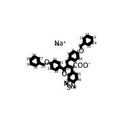 O=C([O-])C(=C(Cc1ccc(OCc2ccccc2)cc1)C(=O)c1ccc(OCc2ccccc2)cc1)c1ccc2nsnc2c1.[Na+]